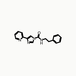 O=C(NCCc1ccccc1)n1cnc(-c2ccccn2)c1